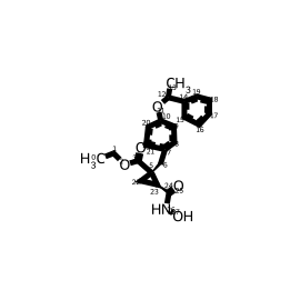 CCOC(=O)[C@@]1(Cc2ccc(OC(C)c3ccccc3)cc2)C[C@@H]1C(=O)NO